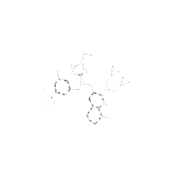 Cc1cc(CN(Cc2cc3cccc(C)c3nc2N(CC2CC2)CC2CC2)c2nnn(C(C)C)n2)cc(C(F)(F)F)c1